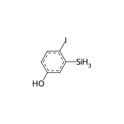 Oc1ccc(I)c([SiH3])c1